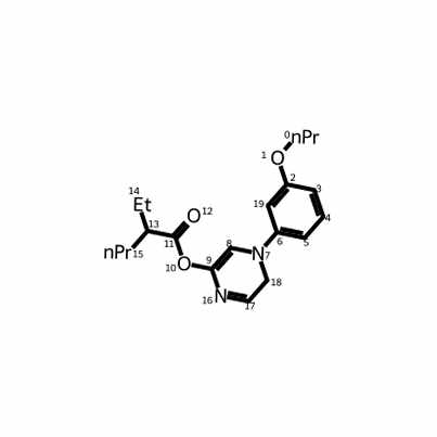 CCCOc1cccc(N2C=C(OC(=O)C(CC)CCC)N=CC2)c1